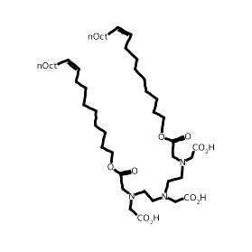 CCCCCCCC/C=C\CCCCCCCCOC(=O)CN(CCN(CCN(CC(=O)O)CC(=O)OCCCCCCCC/C=C\CCCCCCCC)CC(=O)O)CC(=O)O